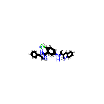 C=C(Nc1ccc(Cl)c(-c2ncc(-c3ccccc3)[nH]2)c1)c1cnc2ccccc2c1